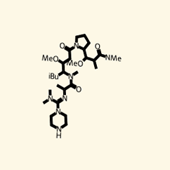 CCC(C)C(C(CC(=O)N1CCCC1C(OC)C(C)C(=O)NC)OC)N(C)C(=O)C(C)/N=C(\N(C)C)N1CCNCC1